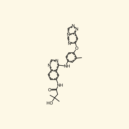 Cc1cc(Nc2ncnc3ccc(NC(=O)CC(C)(C)O)cc23)ccc1Oc1cc2nncn2cn1